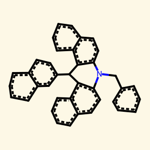 c1ccc(CN2c3ccc4ccccc4c3C(c3ccc4ccccc4c3)c3c2ccc2ccccc32)cc1